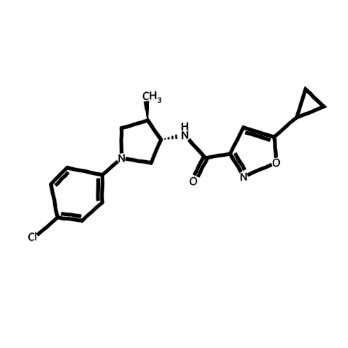 C[C@@H]1CN(c2ccc(Cl)cc2)C[C@H]1NC(=O)c1cc(C2CC2)on1